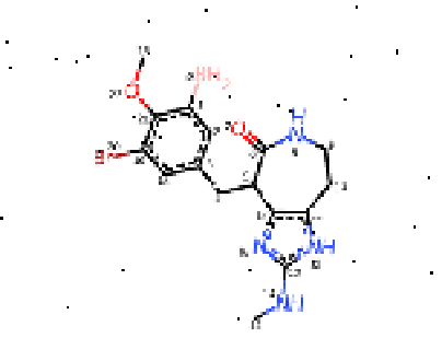 Bc1cc(CC2C(=O)NCCc3[nH]c(NC)nc32)cc(Br)c1OC